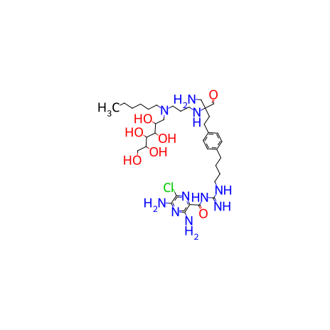 CCCCCCN(CCCNC(C=O)(CN)CCc1ccc(CCCCNC(=N)NC(=O)c2nc(Cl)c(N)nc2N)cc1)CC(O)C(O)C(O)C(O)CO